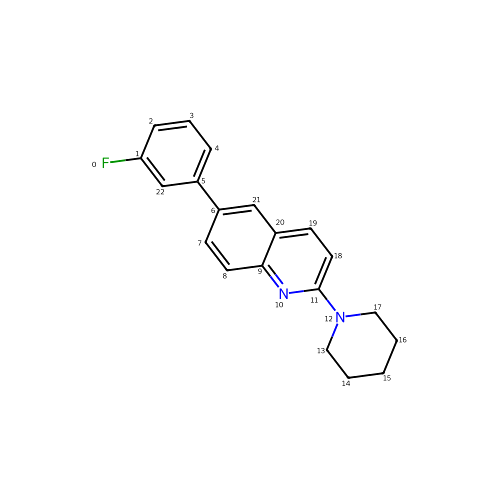 Fc1cccc(-c2ccc3nc(N4CCCCC4)ccc3c2)c1